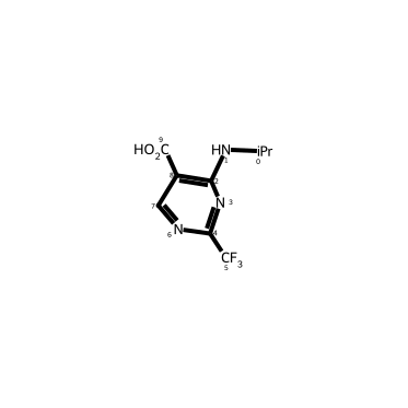 CC(C)Nc1nc(C(F)(F)F)ncc1C(=O)O